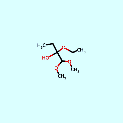 CCOC(O)(CC)C(OC)OC